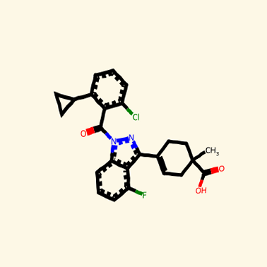 CC1(C(=O)O)CC=C(c2nn(C(=O)c3c(Cl)cccc3C3CC3)c3cccc(F)c23)CC1